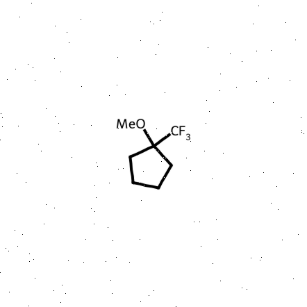 COC1(C(F)(F)F)CCCC1